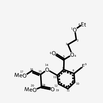 CCOCCOC(=O)c1c(F)cccc1O/C(=C/OC)C(=O)OC